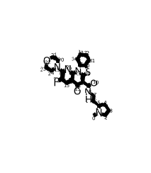 CN1CCCC1CCNC(=O)c1c(=O)c2cc(F)c(N3CCOCC3)nc2n2c1sc1ccccc12